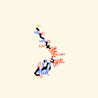 CC(C)(COP(=O)(O)OP(=O)(O)OC[C@H]1O[C@@H](N2CN=C3C2=NC=NC3(N)N2C(=O)C=CC2=O)[C@H](O)[C@@H]1OP(=O)(O)O)[C@@H](O)C(=O)NCCC(=O)NCCS